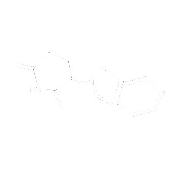 O=C1CCC(n2cc3ccccc3n2)C(=O)N1